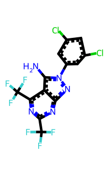 Nc1c2c(C(F)(F)F)nc(C(F)(F)F)nc2nn1-c1cc(Cl)cc(Cl)c1